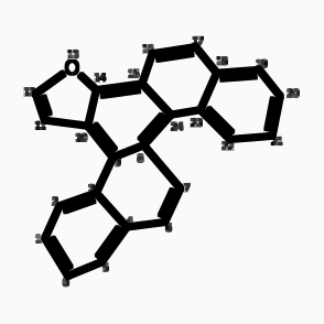 c1ccc2c(c1)ccc1c2c2ccoc2c2ccc3ccccc3c21